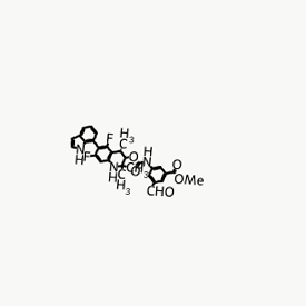 COC(=O)c1cc(C=O)cc(NC(=O)OC2[C@@H](C)c3c(cc(F)c(-c4cccc5cc[nH]c45)c3F)NC2(C)C)c1